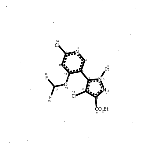 CCOC(=O)c1nn(CC)c(-c2cnc(Cl)cc2OC(F)F)c1Cl